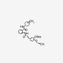 C#CCOc1ccc(C=CC(=O)Nc2ccccc2C(=O)NC2CCN(C)CC2)cc1OC